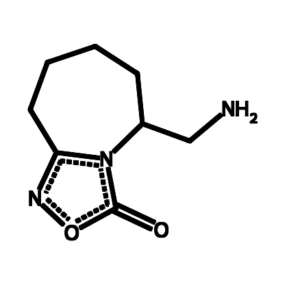 NCC1CCCCc2noc(=O)n21